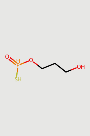 O=[PH](S)OCCCO